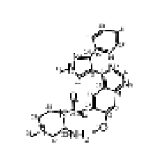 COc1cc2ncnc(-c3cn(C)nc3-c3ccccc3)c2cc1OC(=O)N1CCN(C)C[C@@H]1N